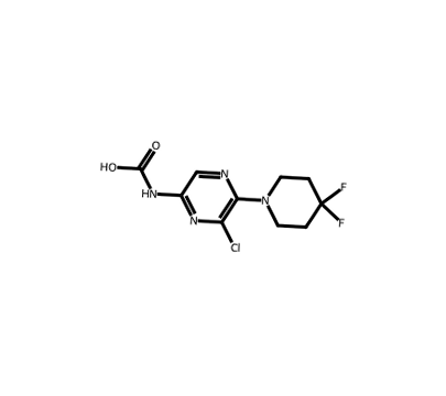 O=C(O)Nc1cnc(N2CCC(F)(F)CC2)c(Cl)n1